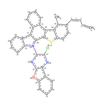 C=C/C=C\c1ccc2sc3c(c4ccccc4c4c5ccccc5n(-c5nc6oc7ccccc7c6nc5Cl)c34)c2c1C